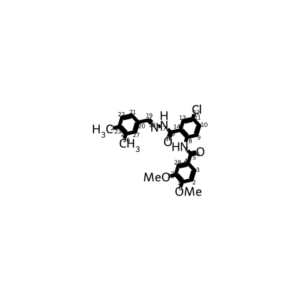 COc1ccc(C(=O)Nc2ccc(Cl)cc2C(=O)N/N=C/c2ccc(C)c(C)c2)cc1OC